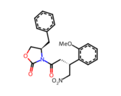 COc1ccccc1[C@@H](CC(=O)N1C(=O)OC[C@H]1Cc1ccccc1)C[N+](=O)[O-]